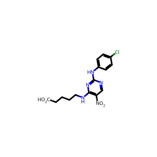 O=C(O)CCCCNc1nc(Nc2ccc(Cl)cc2)ncc1[N+](=O)[O-]